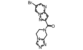 O=C(c1cc2ncc(Br)cn2n1)N1CCn2cnnc2C1